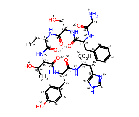 CC(C)C[C@H](NC(=O)[C@H](CO)NC(=O)[C@H](Cc1ccccc1)NC(=O)CN)C(=O)N[C@H](C(=O)N[C@@H](Cc1ccc(O)cc1)C(=O)N[C@@H](Cc1c[nH]cn1)C(=O)O)[C@@H](C)O